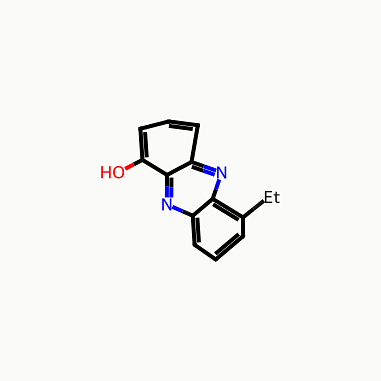 CCc1cccc2nc3c(O)cccc3nc12